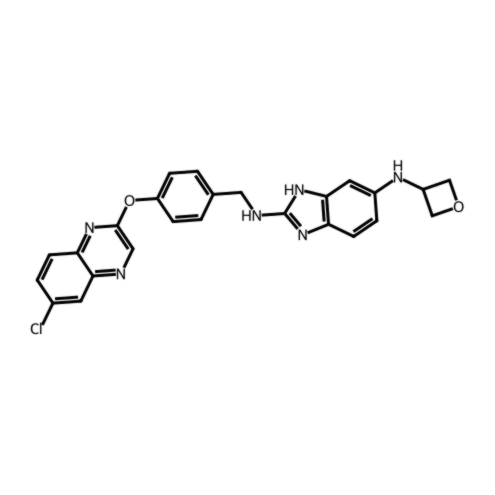 Clc1ccc2nc(Oc3ccc(CNc4nc5ccc(NC6COC6)cc5[nH]4)cc3)cnc2c1